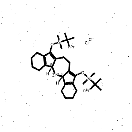 CCCC(C)(C)[Si](C)(C)OC1=C2CCC3=C(O[Si](C)(C)C(C)(C)CCC)C4=C(CCCC4)[C@@H]3[Zr+2][C@@H]2C2=C1CCCC2.[Cl-].[Cl-]